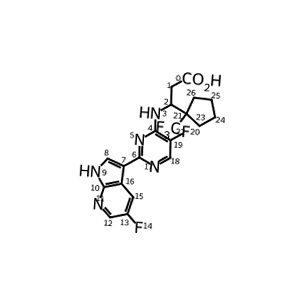 O=C(O)CC(Nc1nc(-c2c[nH]c3ncc(F)cc23)ncc1F)C1(C(F)(F)F)CCCC1